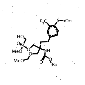 CCCCCCCCSc1ccc(CCC(COCOC)(COP(=O)(CO)OC)NC(=O)OC(C)(C)C)cc1C(F)(F)F